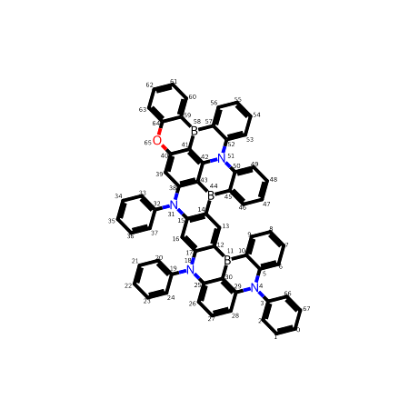 c1ccc(N2c3ccccc3B3c4cc5c(cc4N(c4ccccc4)c4cccc2c43)N(c2ccccc2)c2cc3c4c6c2B5c2ccccc2N6c2ccccc2B4c2ccccc2O3)cc1